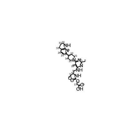 Cc1nc(NCC(C=O)NC(=O)OCC(=O)O)c(C)c(N2CCC(c3ccc4c(n3)NCCC4)CC2)n1